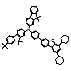 CC(C)(C)c1ccc2c(c1)C(C)(C)c1cc(N(c3ccc(-c4ccc5c(c4)oc4c(C6CCCCC6)cc(C6CCCCC6)cc45)cc3)c3ccc4c(c3)C(C)(C)c3ccccc3-4)ccc1-2